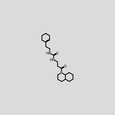 O=C(CCNC(=S)NCCC1=CCCCC1)N1CCCC2CCCCC21